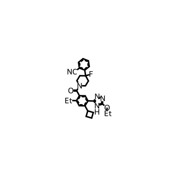 CCOc1nnc(-c2cc(C(=O)N3CCC(F)(c4ccccc4C#N)CC3)c(CC)cc2C2CCC2)[nH]1